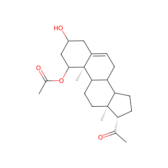 CC(=O)OC1CC(O)CC2=CCC3C(CC[C@@]4(C)C3CC[C@@H]4C(C)=O)[C@]21C